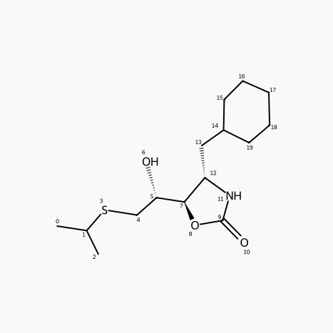 CC(C)SC[C@H](O)[C@@H]1OC(=O)N[C@H]1CC1CCCCC1